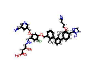 Cc1c(COc2cc(OCc3cncc(C#N)c3)c(CNC[C@@H](O)CC(=O)O)cc2Cl)cccc1-c1cccc(-c2ccc(C3=NCCN3)c(OCCCC#N)c2)c1C